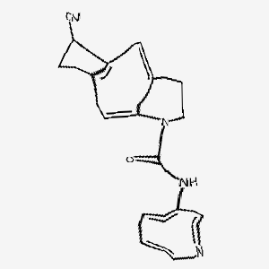 N#CC1Cc2cc3c(cc21)CCN3C(=O)Nc1cccnc1